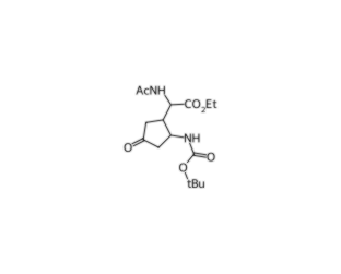 CCOC(=O)C(NC(C)=O)C1CC(=O)CC1NC(=O)OC(C)(C)C